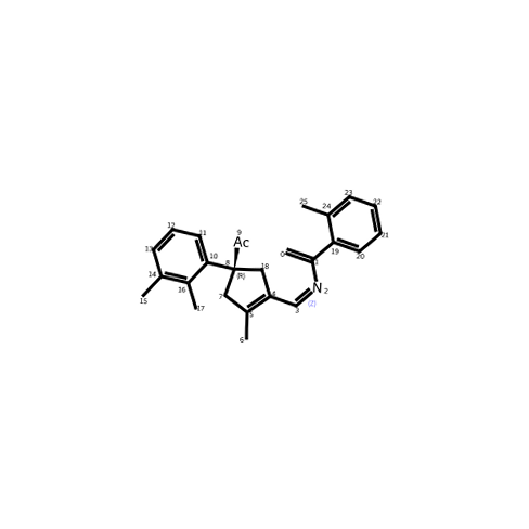 C=C(/N=C\C1=C(C)C[C@](C(C)=O)(c2cccc(C)c2C)C1)c1ccccc1C